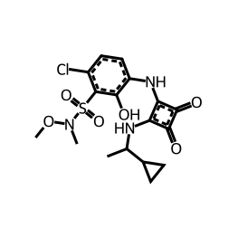 CON(C)S(=O)(=O)c1c(Cl)ccc(Nc2c(NC(C)C3CC3)c(=O)c2=O)c1O